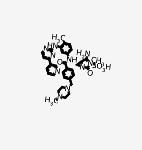 CS(=O)(=O)O.Cc1ccc(NC(=O)c2ccc(CN3CCN(C)CC3)cc2)cc1Nc1nccc(-c2cccnc2)n1.NC1=NC(=O)N2CC12